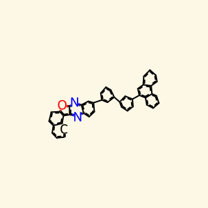 c1cc(-c2cccc(-c3cc4ccccc4c4ccccc34)c2)cc(-c2ccc3nc4c(nc3c2)oc2ccc3ccccc3c24)c1